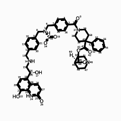 O=C(c1ccc(CN(Cc2ccc(CNC[C@H](O)c3ccc(O)c4[nH]c(=O)ccc34)cc2)[SH](=O)=O)cc1)N1CCC(C(=O)O[C@H]2CN3CCC2CC3)(c2ccccc2)CC1